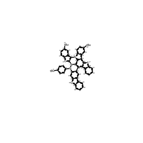 CC(C)(C)c1ccc(N2B3c4oc5ccc(C(C)(C)C)cc5c4-n4c5ccc(C(C)(C)C)cc5c5c6sc7ccccc7c6c(c3c54)-c3cc4c(cc32)oc2ccccc24)cc1